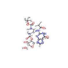 CC(C)C(=O)Nc1nc2c(ncn2[C@@H]2O[C@H](CO)[C@@H](O)[C@H]2OC(=O)N(C)CCN(C)C(=O)OC(C)(C)C)c(=O)[nH]1